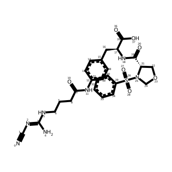 N#C/N=C(\N)NCCCC(=O)Nc1ccc(C[C@H](NC(=O)[C@@H]2COCN2S(=O)(=O)c2ccccc2)C(=O)O)cc1